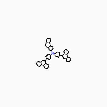 c1ccc2c(c1)ccc1cc(N(c3ccc(-c4cc5ccccc5c5ccccc45)cc3)c3ccc(-c4cc5ccccc5c5ccccc45)cc3)ccc12